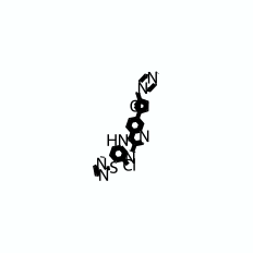 CN1CCN(Cc2ccc(-c3ccc4c(Nc5ccc(Sc6nccn6C)c(Cl)c5)c(C#N)cnc4c3)o2)CC1